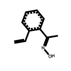 C=Cc1ccccc1C(C)=NO